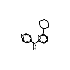 c1cc(Nc2ccncc2)nc(C2CCCCC2)c1